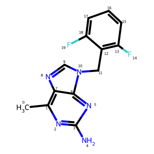 Cc1nc(N)nc2c1ncn2Cc1c(F)cccc1F